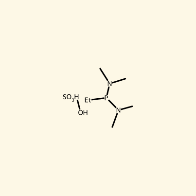 CCP(N(C)C)N(C)C.O=S(=O)(O)O